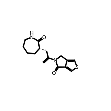 C=C(C[C@@H]1CCCCNC1=O)N1Cc2cscc2C1=O